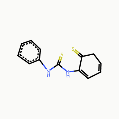 S=C(NC1=CC=CCC1=S)Nc1ccccc1